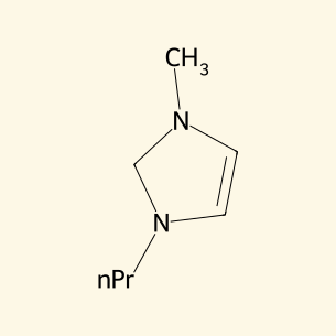 CCCN1C=CN(C)C1